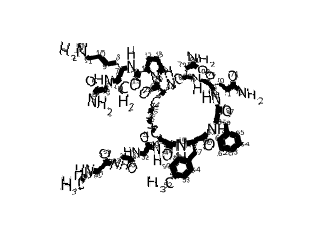 C=C(NCC(N)=O)[C@H](CCCCN)NC(=O)[C@@H]1CCCN1C(=O)[C@@H]1CSSC[C@H](NC(=O)CNC(=O)CNC(=O)CNC)C(=O)N[C@H](Cc2ccc(C)cc2)C(=O)N[C@@H](Cc2ccccc2)C(=O)N[C@@H](CCC(N)=O)C(=O)N[C@@H](CC(N)=O)CN1